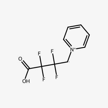 O=C(O)C(F)(F)C(F)(F)[CH][n+]1ccccc1